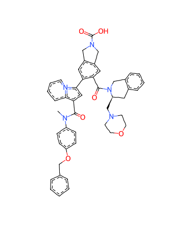 CN(C(=O)c1cc(-c2cc3c(cc2C(=O)N2Cc4ccccc4C[C@H]2CN2CCOCC2)CN(C(=O)O)C3)n2ccccc12)c1ccc(OCc2ccccc2)cc1